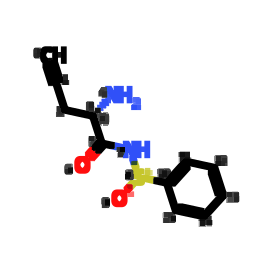 C#CC[C@H](N)C(=O)N[S+]([O-])c1ccccc1